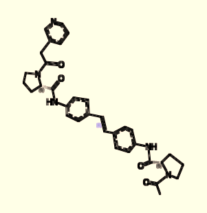 CC(=O)N1CCC[C@H]1C(=O)Nc1ccc(/C=C/c2ccc(NC(=O)[C@@H]3CCCN3C(=O)Cc3cccnc3)cc2)cc1